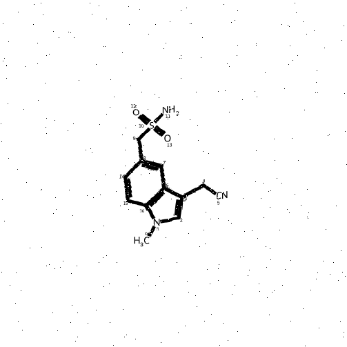 Cn1cc(CC#N)c2cc(CS(N)(=O)=O)ccc21